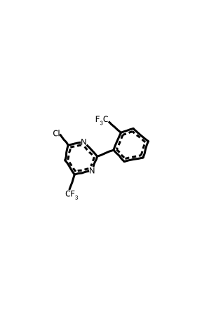 FC(F)(F)c1cc(Cl)nc(-c2ccccc2C(F)(F)F)n1